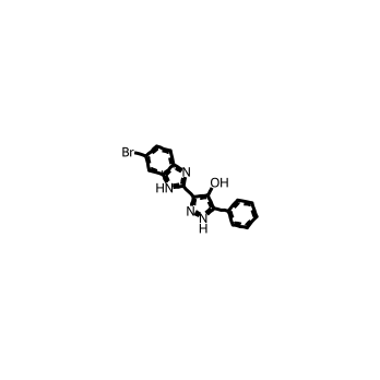 Oc1c(-c2nc3ccc(Br)cc3[nH]2)n[nH]c1-c1ccccc1